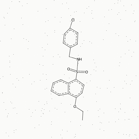 CCOc1ccc(S(=O)(=O)NCc2ccc(Cl)cc2)c2ccccc12